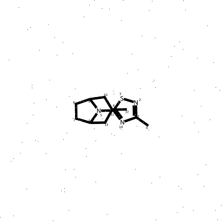 Cc1nsc(N2C3CCC2CC(C)C3)n1